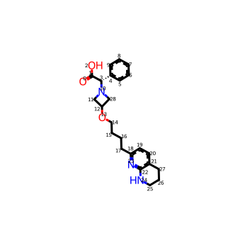 O=C(O)[C@H](c1ccccc1)N1CC(OCCCCc2ccc3c(n2)NCCC3)C1